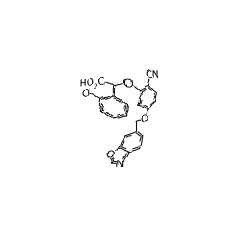 N#Cc1ccc(OCc2ccc3ncoc3c2)cc1OC(C(=O)O)c1ccccc1Cl